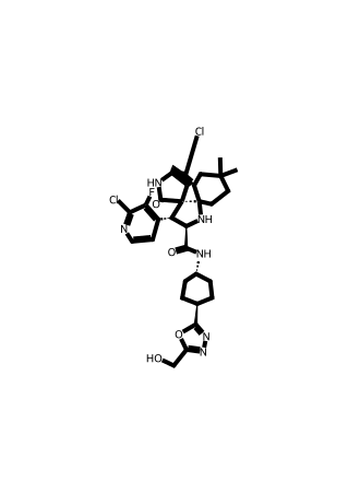 CC1(C)CCC2(CC1)N[C@@H](C(=O)N[C@H]1CC[C@H](c3nnc(CO)o3)CC1)[C@H](c1ccnc(Cl)c1F)[C@]21C(=O)Nc2cc(Cl)ccc21